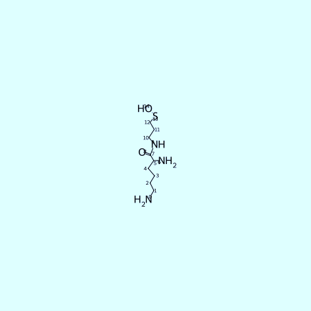 NCCCCC(N)C(=O)NCCCSO